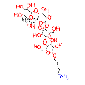 NCCCCCO[C@H]1OC(CO)[C@@H](O[C@@H]2OC(CO)[C@@H](O[C@@H]3OC(C(=O)O)[C@@H](O[C@H]4OC(CO)[C@H](O)[C@H](O)C4O)C(O)[C@@H]3O)C(O)[C@@H]2O)[C@H](O)C1O